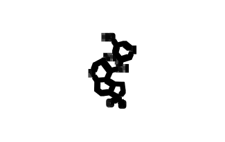 Nc1cnc2ccc3c(c2c1Nc1cncc(O)c1)CCS3(=O)=O